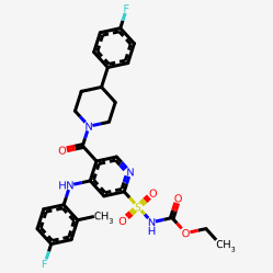 CCOC(=O)NS(=O)(=O)c1cc(Nc2ccc(F)cc2C)c(C(=O)N2CCC(c3ccc(F)cc3)CC2)cn1